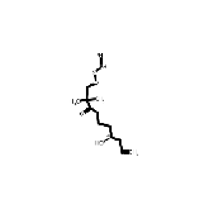 [3H]BSOCC(C)(C)C(=O)CCC[C@H](O)CC=C